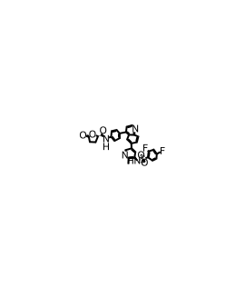 Cc1ncc(-c2ccc3nccc(-c4ccc(NC(=O)[C@@H]5CCC(=O)O5)cc4)c3c2)cc1NS(=O)(=O)c1ccc(F)cc1F